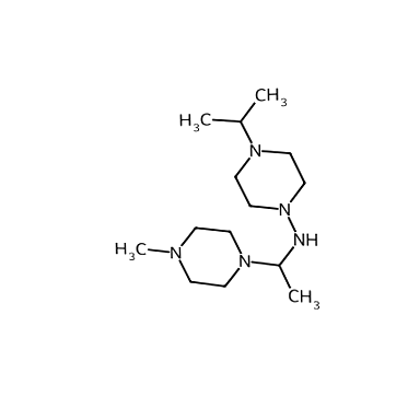 CC(C)N1CCN(NC(C)N2CCN(C)CC2)CC1